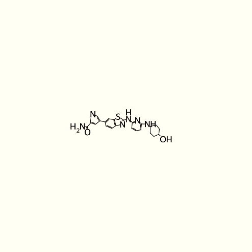 NC(=O)c1cncc(-c2ccc3nc(Nc4cccc(N[C@H]5CC[C@H](O)CC5)n4)sc3c2)c1